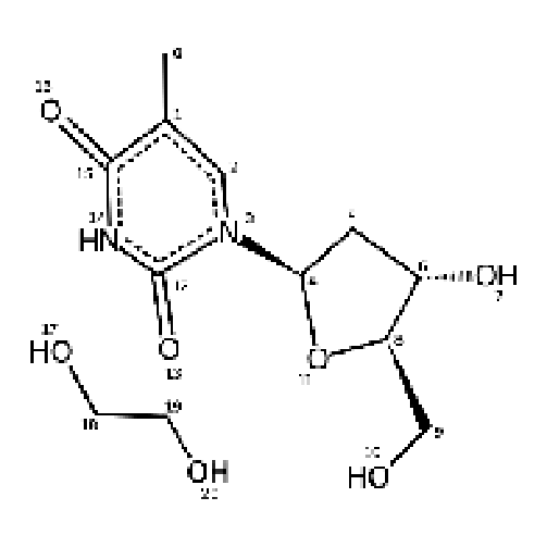 Cc1cn([C@H]2C[C@H](O)[C@@H](CO)O2)c(=O)[nH]c1=O.OCCO